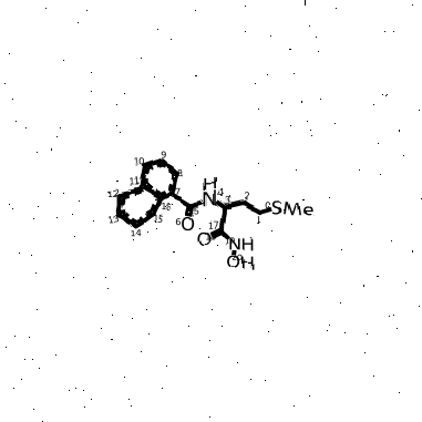 CSCCC(NC(=O)c1cccc2ccccc12)C(=O)NO